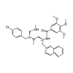 CNC[C@H](Cc1ccc(Cl)cc1)N(C)C[C@H](Cc1ccc2ccccc2c1)NC(=O)c1cc(OC)c(OC)c(OC)c1